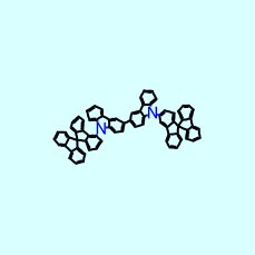 c1ccc2c(c1)-c1ccccc1C21c2ccccc2-c2cc(-n3c4ccccc4c4cc(-c5ccc6c(c5)c5ccccc5n6-c5cccc6c5-c5ccccc5C65c6ccccc6-c6ccccc65)ccc43)ccc21